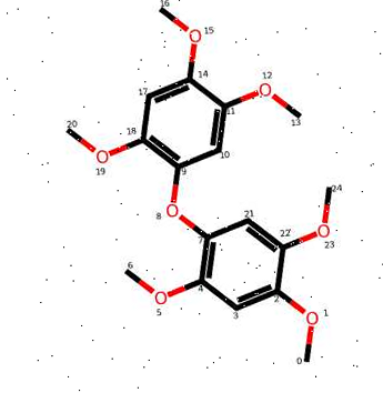 COc1cc(OC)c(Oc2cc(OC)c(OC)cc2OC)cc1OC